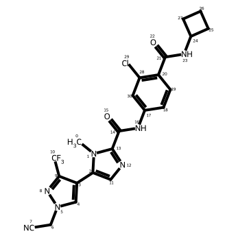 Cn1c(-c2cn(CC#N)nc2C(F)(F)F)cnc1C(=O)Nc1ccc(C(=O)NC2CCC2)c(Cl)c1